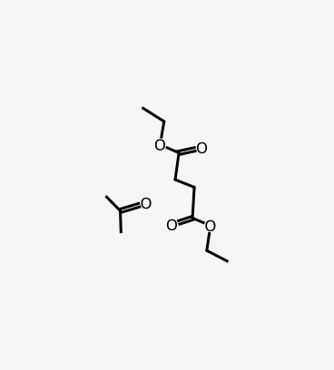 CC(C)=O.CCOC(=O)CCC(=O)OCC